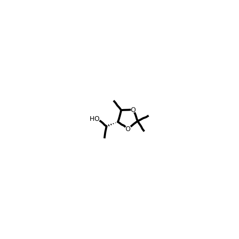 CC(O)[C@H]1OC(C)(C)OC1C